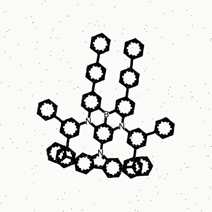 c1ccc(-c2ccc(-c3ccc4c(c3)B3c5cc(-c6ccc(-c7ccccc7)cc6)ccc5N(c5cc(-c6ccccc6)cc(-c6ccccc6)c5)c5cc(-n6c7cc(-c8ccccc8)ccc7c7ccc(-c8ccccc8)cc76)cc(c53)N4c3cc(-c4ccccc4)cc(-c4ccccc4)c3)cc2)cc1